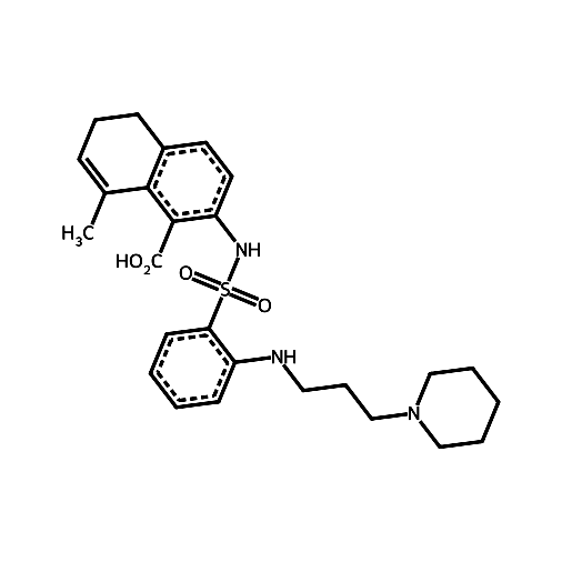 CC1=CCCc2ccc(NS(=O)(=O)c3ccccc3NCCCN3CCCCC3)c(C(=O)O)c21